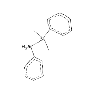 C[Si](C)([SiH2]c1ccccc1)c1ccccc1